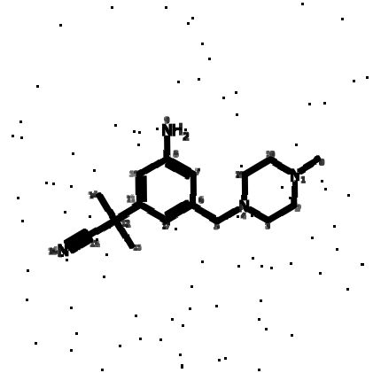 CN1CCN(Cc2cc(N)cc(C(C)(C)C#N)c2)CC1